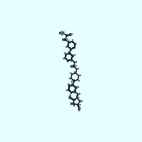 CC(=O)Nc1cccc(-c2cccc(CNCC3CCN(c4nccc(C=C5SC(=O)NC5=O)n4)CC3)n2)c1